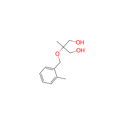 Cc1ccccc1COC(C)(CO)CO